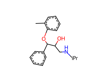 Cc1ccccc1OC(c1ccccc1)C(O)CNC(C)C